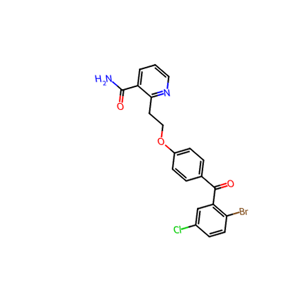 NC(=O)c1cccnc1CCOc1ccc(C(=O)c2cc(Cl)ccc2Br)cc1